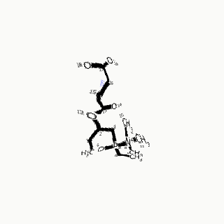 CCC(CP(=O)(CC)[N+](C)(C)C)OC(=O)/C=C/C(=O)[O-]